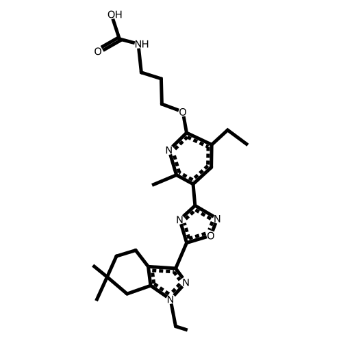 CCc1cc(-c2noc(-c3nn(CC)c4c3CCC(C)(C)C4)n2)c(C)nc1OCCCNC(=O)O